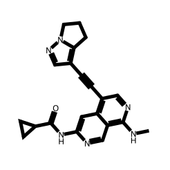 CNc1ncc(C#Cc2cnn3c2CCC3)c2cc(NC(=O)C3CC3)ncc12